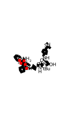 Cc1ncsc1-c1ccc(CNC(=O)[C@@H]2C[C@@H](O)CN2C(=O)[C@@H](NC(=O)[C@H]2C[C@H](CN3CCC(c4cnc(N5C6CCC5CN(c5cc(-c7ccccc7O)nnc5N)C6)nc4)CC3)C2)C(C)(C)C)cc1